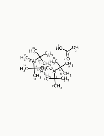 O=[PH](O)O.[CH3][Al]([C](C)(C)C)[C](C)(C)C.[CH3][Al]([C](C)(C)C)[C](C)(C)C